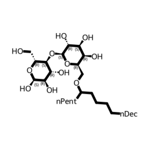 CCCCCCCCCCCCCCC(CCCCC)OC[C@H]1O[C@@H](O[C@H]2[C@H](O)[C@@H](O)[C@@H](O)O[C@@H]2CO)[C@H](O)[C@@H](O)[C@H]1O